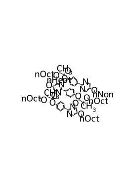 CCCCCCCCCOc1cnc(-c2ccc(OC(=O)C(C)OCCCCCCCC)cc2)nc1.CCCCCCCCOC(C)C(=O)Oc1ccc(-c2ncc(OCCCCCCC)cn2)cc1.CCCCCCCCOc1cnc(-c2ccc(OC(=O)C(C)OCCCCCCCC)cc2)nc1